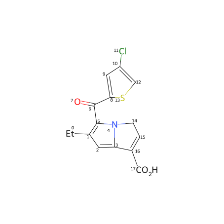 CCc1cc2n(c1C(=O)c1cc(Cl)cs1)CC=C2C(=O)O